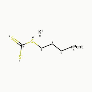 CCCCCCCCSC(=S)[S-].[K+]